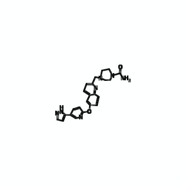 NC(=O)N1CCN(Cc2ccc3cc(Oc4ccc(-c5ccn[nH]5)cn4)ccc3n2)CC1